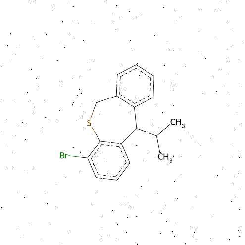 CC(C)C1c2ccccc2CSc2c(Br)cccc21